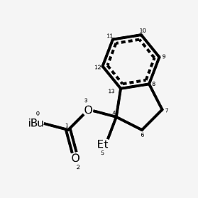 CCC(C)C(=O)OC1(CC)CCc2ccccc21